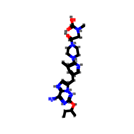 CCC(C)Oc1nc(N)c2ncc(Cc3cnc(N4CCN(C(=O)CN(C)C(=O)O)CC4)c(C)c3)n2n1